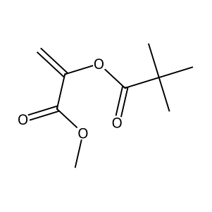 C=C(OC(=O)C(C)(C)C)C(=O)OC